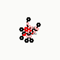 CO[C@H]1OC2COC(c3ccccc3)O[C@H]2C(O[C@H]2OC(COCc3ccccc3)[C@@H](OCc3ccccc3)C(OCc3ccccc3)C2O[C@H]2OC(COCc3ccccc3)[C@@H](OCc3ccccc3)C(OCc3ccccc3)C2OC(C)=O)C1OCc1ccccc1